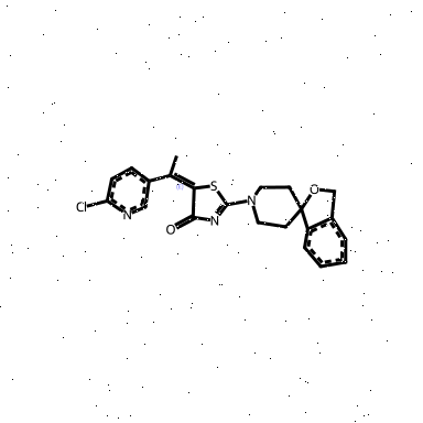 C/C(=C1\SC(N2CCC3(CC2)OCc2ccccc23)=NC1=O)c1ccc(Cl)nc1